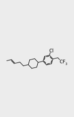 C/C=C/CCC1CCC(c2ccc(CC(F)(F)F)c(Cl)c2)CC1